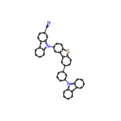 N#Cc1ccc2c3ccccc3n(-c3ccc4sc5ccc(-c6cccc(-n7c8ccccc8c8ccccc87)c6)cc5c4c3)c2c1